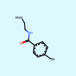 CNCCNC(=O)c1ccc(C(C)C)cc1